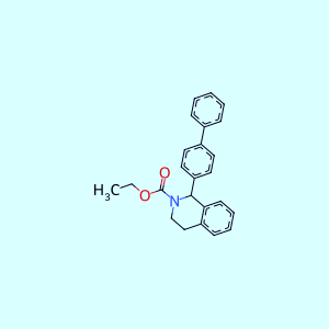 CCOC(=O)N1CCc2ccccc2C1c1ccc(-c2ccccc2)cc1